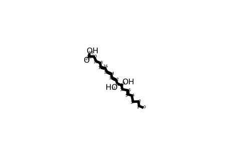 CCCCC/C=C/CC(O)C(O)/C=C/C=C/C=C/CCCC(=O)O